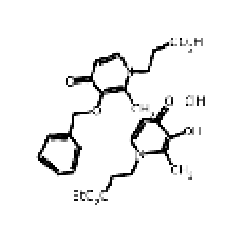 CCOC(=O)CCn1ccc(=O)c(O)c1C.Cc1c(OCc2ccccc2)c(=O)ccn1CCC(=O)O.Cl